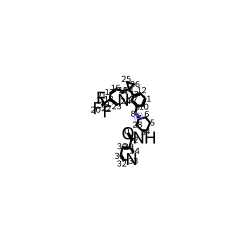 O=C(NC1CCC/C(=C\c2cccc(C3(c4ccc(C(F)(F)F)cn4)CC3)c2)C1)c1cccnc1